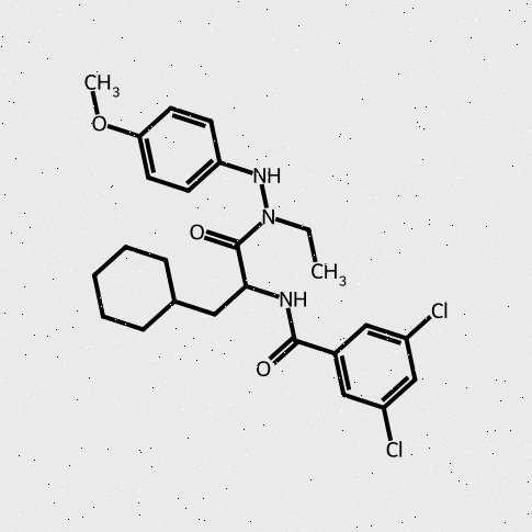 CCN(Nc1ccc(OC)cc1)C(=O)C(CC1CCCCC1)NC(=O)c1cc(Cl)cc(Cl)c1